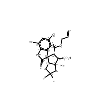 C=CCOC(=O)[C@H]1[C@@H](C(=O)O)[C@H]2CC(F)(F)CN2[C@]12C(=O)Nc1c(F)cc(Cl)cc12